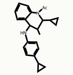 CC(=O)N1c2ccccc2C(Nc2ccc(C3CC3)cc2)C(C)C1C1CC1